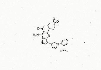 CC(=O)c1cscc1-n1ccc(-c2cnn3c(N)c(C(C)=O)c(C4CCS(=O)(=O)CC4)nc23)c1